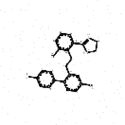 Clc1ccc(-c2ccc(Br)cc2CCc2c(Cl)cccc2C2=NCCN2)cc1